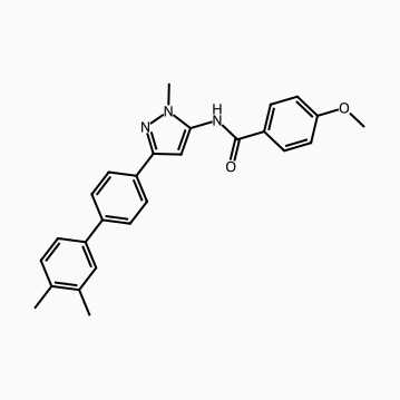 COc1ccc(C(=O)Nc2cc(-c3ccc(-c4ccc(C)c(C)c4)cc3)nn2C)cc1